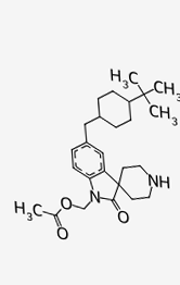 CC(=O)OCN1C(=O)C2(CCNCC2)c2cc(CC3CCC(C(C)(C)C)CC3)ccc21